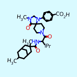 CC1CC2CC(C1)CC(C)(C(=O)NC(C(=O)N1CCC3(CC1)C(=O)N(C)CN3c1ccc(C(=O)O)cc1)C(C)C)C2